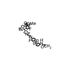 C=CC(=O)Nc1cccc(S(=O)(=O)c2ccc(N3CC(F)(CN4CCC([C@@](CN5CCC5)(c5cccc(F)c5)[C@H]5CCC[C@@H]5NC(=O)OC)CC4)C3)c(F)c2)c1